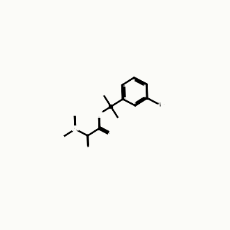 CCC(C(=O)OC(C)(C)c1cccc(C(C)C)c1)N(C)C